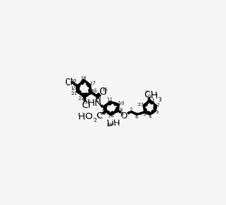 Cc1cccc(CCOc2ccc(NC(=O)c3ccc(Cl)cc3Cl)c(C(=O)O)c2)c1.[LiH]